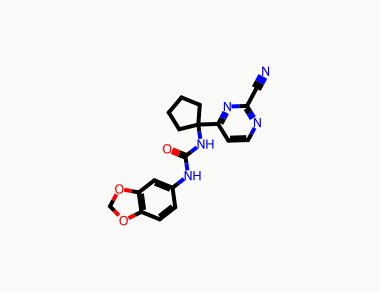 N#Cc1nccc(C2(NC(=O)Nc3ccc4c(c3)OCO4)CCCC2)n1